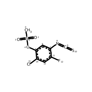 CS(=O)(=O)Oc1cc(N=C=S)c(F)cc1Cl